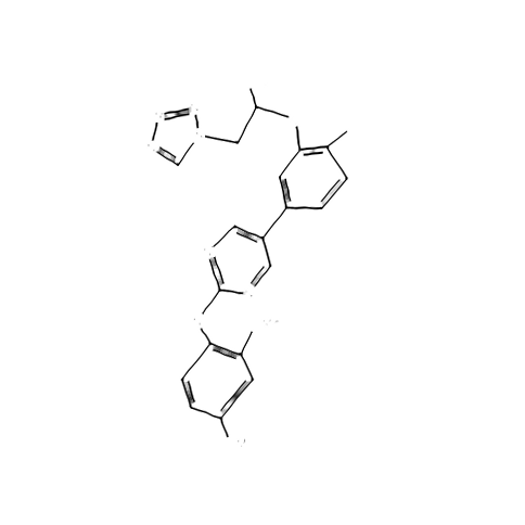 COc1ccc(Nc2ncc(-c3ccc(Cl)c(OC(C)Cn4cnnn4)c3)cn2)c(OC)c1